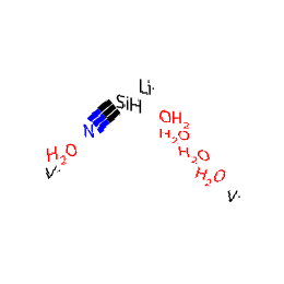 N#[SiH].O.O.O.O.O.[Li].[V].[V]